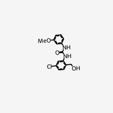 COc1cccc(NC(=O)Nc2cc(Cl)ccc2CO)c1